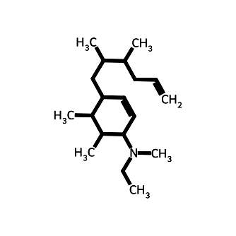 C=CCC(C)C(C)CC1C=CC(N(C)CC)C(C)C1C